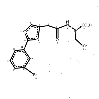 CC(C)C[C@@H](NC(=O)Cc1csc(-c2cccc(Br)c2)n1)C(=O)O